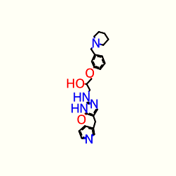 O=c1[nH]c(NCC(O)COc2cccc(CN3CCCCC3)c2)ncc1Cc1cccnc1